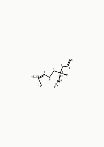 C=CC[C@](C)(C#N)CCC=C(C)C